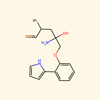 CC(C)C(C=S)CC(N)(O)COc1ccccc1-c1ccc[nH]1